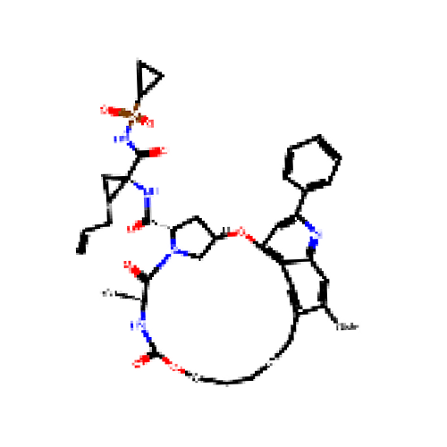 C=CC[C@H]1C[C@]1(NC(=O)[C@@H]1C[C@@H]2CN1C(=O)[C@H](C(C)(C)C)NC(=O)OCCCCCc1cc3c(cc(-c4ccccc4)nc3cc1OC)O2)C(=O)NS(=O)(=O)C1CC1